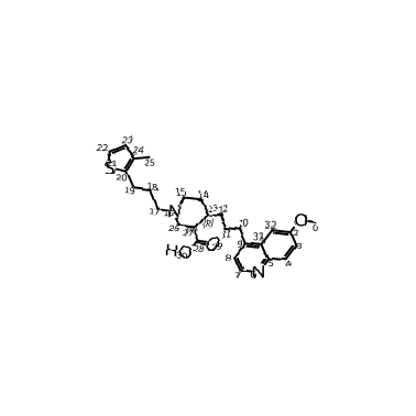 COc1ccc2nccc(CCC[C@@H]3CCN(CCCc4sccc4C)C[C@@H]3C(=O)O)c2c1